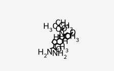 CC(C)(C)OC(=O)N1C[C@@H]2[C@@H](CC[C@]3(C)C(C(CN)C(N)=O)CC[C@@H]23)[C@@]2(C)CCC(=O)C=C12